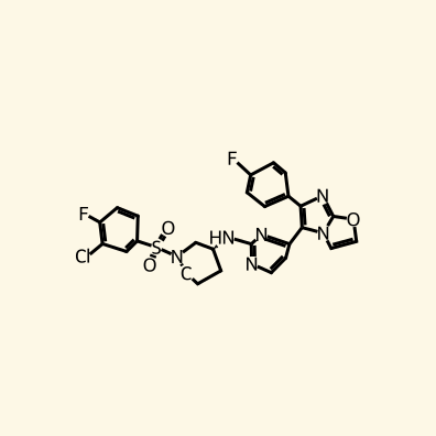 O=S(=O)(c1ccc(F)c(Cl)c1)N1CCC[C@@H](Nc2nccc(-c3c(-c4ccc(F)cc4)nc4occn34)n2)C1